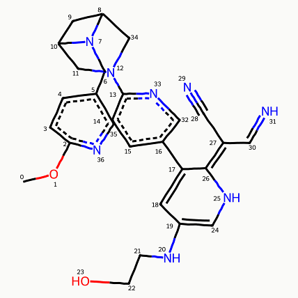 COc1ccc(CN2C3CC2CN(c2ccc(C4=CC(NCCO)=CN/C4=C(/C#N)C=N)cn2)C3)cn1